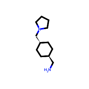 NC[C@H]1CC[C@H](CN2CCCC2)CC1